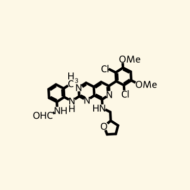 COc1cc(OC)c(Cl)c(-c2cc3cnc(Nc4c(C)cccc4NC=O)nc3c(NCC3CCCO3)n2)c1Cl